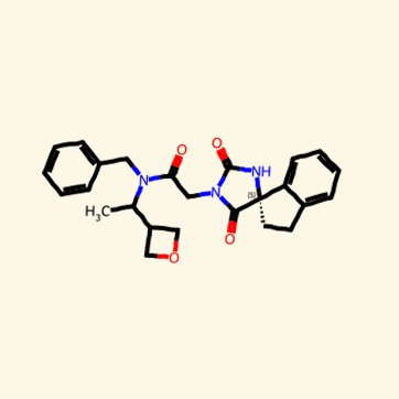 CC(C1COC1)N(Cc1ccccc1)C(=O)CN1C(=O)N[C@]2(CCc3ccccc32)C1=O